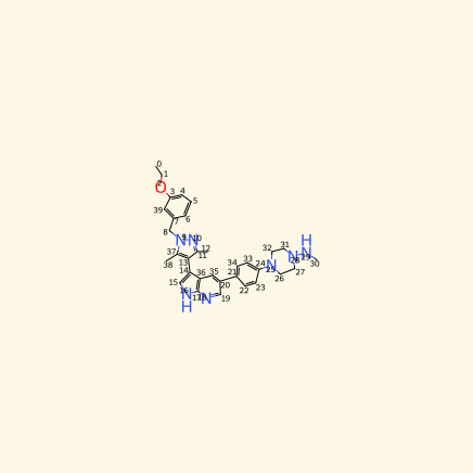 CCOc1cccc(Cn2nc(C)c(-c3c[nH]c4ncc(-c5ccc(N6CCN(NC)CC6)cc5)cc34)c2C)c1